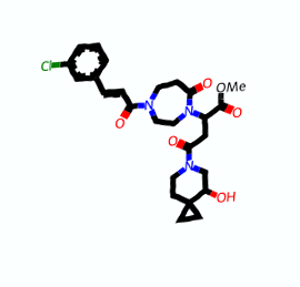 COC(=O)C(CC(=O)N1CCC2(CC2)C(O)C1)N1CCN(C(=O)C=Cc2cccc(Cl)c2)CCC1=O